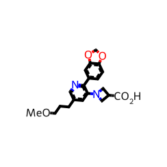 COCCCc1cnc(-c2ccc3c(c2)OCO3)c(N2CC(C(=O)O)C2)c1